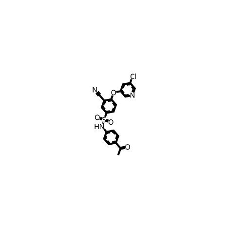 CC(=O)c1ccc(NS(=O)(=O)c2ccc(Oc3cncc(Cl)c3)c(C#N)c2)cc1